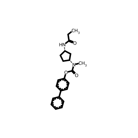 CCC(=O)N[C@H]1CC[C@@H](N(C)C(=O)Oc2ccc(-c3ccccc3)cc2)C1